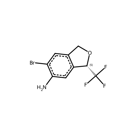 Nc1cc2c(cc1Br)CO[C@@H]2C(F)(F)F